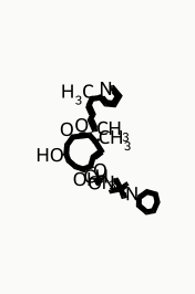 C/C(=C\C=C\[C@H](C)c1ccccn1)[C@H]1C(=O)C(=O)C[C@@H](O)CC[C@](C)(O)[C@@H](OC(=O)N2CC3(C2)CN(C2CCCCCC2)C3)/C=C/[C@@H]1C